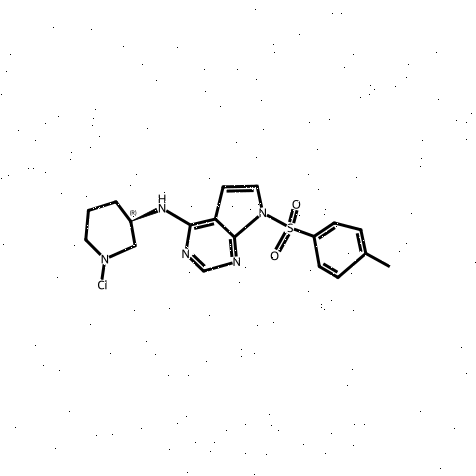 Cc1ccc(S(=O)(=O)n2ccc3c(N[C@@H]4CCCN(Cl)C4)ncnc32)cc1